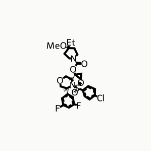 CCC1(OC)CCN(C(=O)OC2([C@H]3COC[C@@H](c4cc(F)cc(F)c4)N3S(=O)(=O)c3ccc(Cl)cc3)CC2)CC1